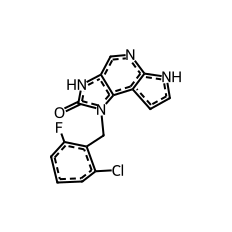 O=c1[nH]c2cnc3[nH]ccc3c2n1Cc1c(F)cccc1Cl